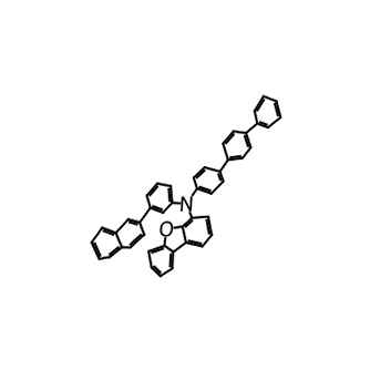 c1ccc(-c2ccc(-c3ccc(N(c4cccc(-c5ccc6ccccc6c5)c4)c4cccc5c4oc4ccccc45)cc3)cc2)cc1